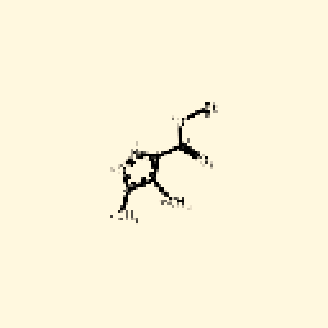 CCOC(=O)c1noc(C)c1C